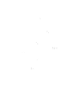 CC(C)c1cn(C(=O)OC(C)(C)C)c(N)n1